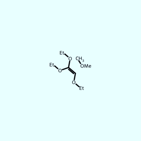 CCOC=C(OCC)OCC.COC